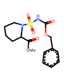 COC(=O)C1CCCCN1S(=O)(=O)NC(=O)OCc1ccccc1